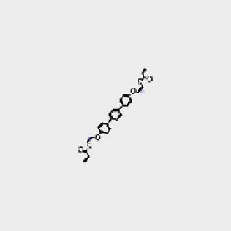 C=CC(=O)S/C=C\Oc1ccc(-c2ccc(-c3ccc(O/C=C\SC(=O)C=C)cc3)cc2)cc1